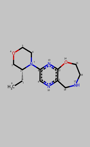 CC[C@@H]1COCCN1c1cnc2c(n1)OCCNC2